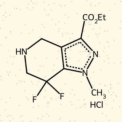 CCOC(=O)c1nn(C)c2c1CNCC2(F)F.Cl